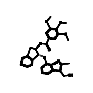 COc1cc(C(=O)O[C@@H]2Cc3ccccc3[C@H]2Oc2cccn3c(CO)c(C)nc23)cc(OC)c1OC